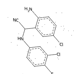 N#CC(Nc1ccc(F)c(Cl)c1)c1cc(Cl)ccc1N